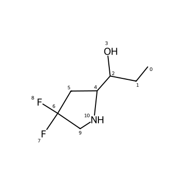 CCC(O)C1CC(F)(F)CN1